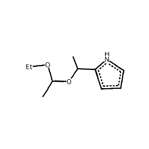 CCOC(C)OC(C)c1ccc[nH]1